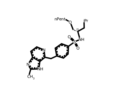 CCCCCOC[C@H](CC(C)C)NS(=O)(=O)c1ccc(Cc2nccc3nc(C)[nH]c23)cc1